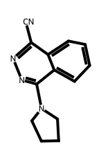 N#Cc1nnc(N2CCCC2)c2ccccc12